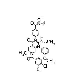 CNC(=O)c1ccc(-n2c(N[C@@H](C)c3ccc(OC)cc3)nc3c(c2=O)C[C@@H](C)N(C(=O)c2ccc(Cl)c(Cl)c2)C3)cc1